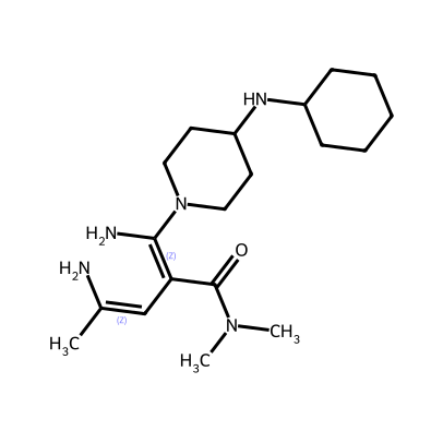 C/C(N)=C/C(C(=O)N(C)C)=C(\N)N1CCC(NC2CCCCC2)CC1